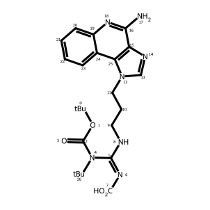 CC(C)(C)OC(=O)N(C(=NC(=O)O)NCCCn1cnc2c(N)nc3ccccc3c21)C(C)(C)C